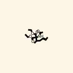 CC=CCC(C)C(NC(C)=O)(C(=O)OCC)C(=O)OCC